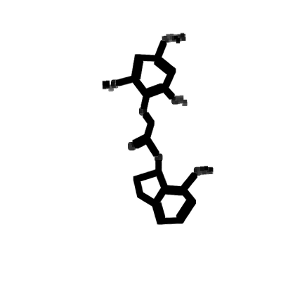 CCCCCCCc1cc(C)c(OCC(=O)OC2CCc3cccc(OC)c32)c(C)c1